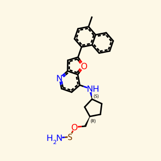 Cc1ccc(-c2cc3nccc(N[C@H]4CC[C@@H](COSN)C4)c3o2)c2ccccc12